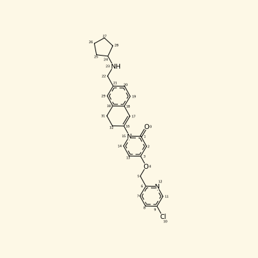 O=c1cc(OCc2ccc(Cl)cn2)ccn1C1=Cc2ccc(CNC3CCCC3)cc2CC1